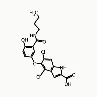 CCCCNC(=O)c1cc(Oc2c(Cl)cc3[nH]c(C(=O)O)cc3c2Cl)ccc1O